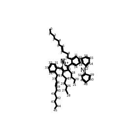 CCCCCCC=CCCc1ccccc1C1=C(CCCC)C(CCCCCC)=C(c2ccccc2CCC=CCCCCCC)[N+]1=[N-].c1cc[c]([Ni][c]2ccccc2)cc1